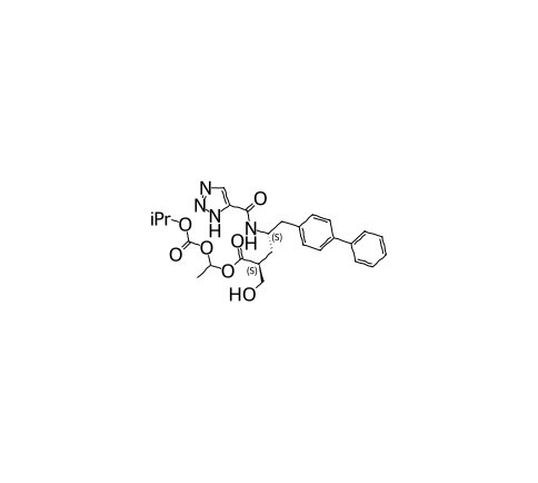 CC(C)OC(=O)OC(C)OC(=O)[C@H](CO)C[C@@H](Cc1ccc(-c2ccccc2)cc1)NC(=O)c1cnn[nH]1